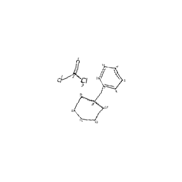 O=C(Cl)Cl.c1ccc(C2CCCCC2)cc1